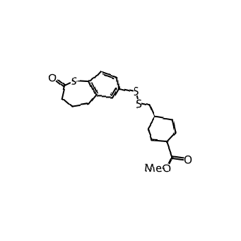 COC(=O)C1CCC(CSSc2ccc3c(c2)CCCC(=O)S3)CC1